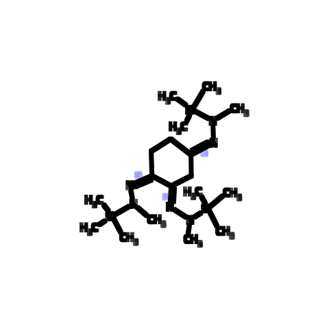 CN(/N=C1/CC/C(=N\N(C)[Si](C)(C)C)C/C1=N\N(C)[Si](C)(C)C)[Si](C)(C)C